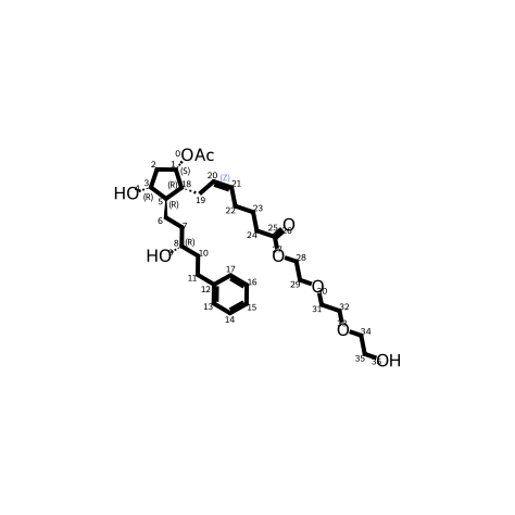 CC(=O)O[C@H]1C[C@@H](O)[C@H](CC[C@@H](O)CCc2ccccc2)[C@H]1C/C=C\CCCC(=O)OCCOCCOCCO